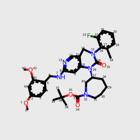 COc1ccc(CNc2cc3c(cn2)CN(c2c(C)cccc2F)C(=O)N3[C@H]2CCCCN(C(=O)OC(C)(C)C)C2)c(OC)c1